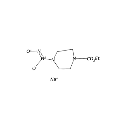 CCOC(=O)N1CCN([N+]([O-])=N[O-])CC1.[Na+]